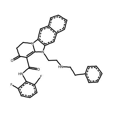 O=C1CCN2C(=C1C(=O)Nc1c(F)cccc1F)N(CCNCCc1ccccc1)c1cc3ccccc3cc12